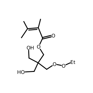 CCOOCC(CO)(CO)COC(=O)C(C)=C(C)C